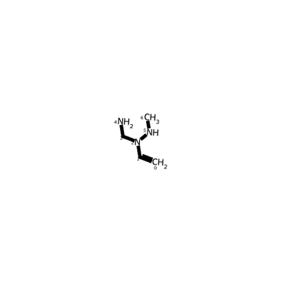 C=CN(CN)NC